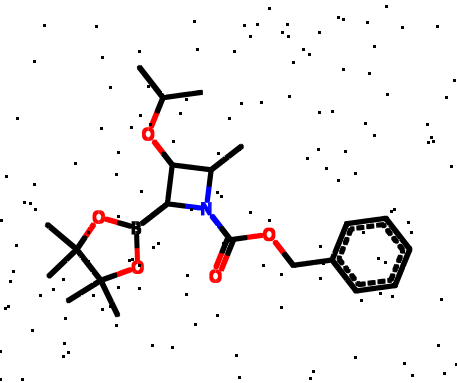 CC(C)OC1C(C)N(C(=O)OCc2ccccc2)C1B1OC(C)(C)C(C)(C)O1